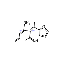 C=C/C=C(N)\C(C(C)=N)=C(/C)c1ccco1